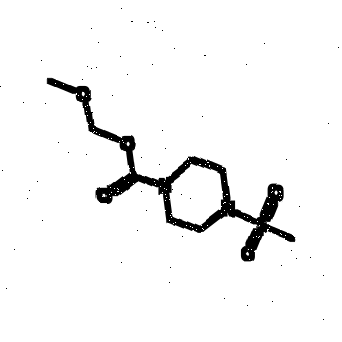 COCOC(=O)N1CCN(S(C)(=O)=O)CC1